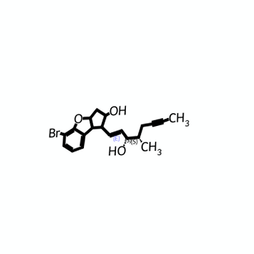 CC#CC[C@H](C)[C@H](O)/C=C/C1C(O)CC2Oc3c(Br)cccc3C21